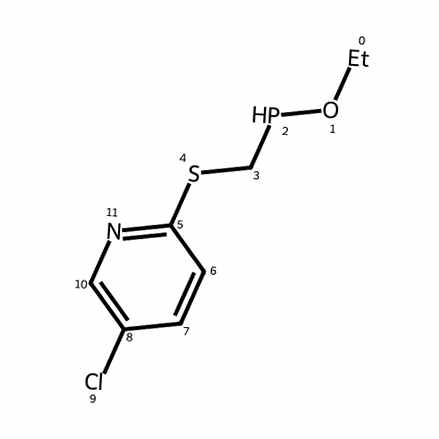 CCOPCSc1ccc(Cl)cn1